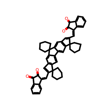 O=C1C(=O)c2ccccc2/C1=C/C1=Cc2cc3c(cc2C12CCCCC2)-c1cc2c(cc1C31CCCCC1)C=C(/C=C1\C(=O)C(=O)c3ccccc31)C21CCCCC1